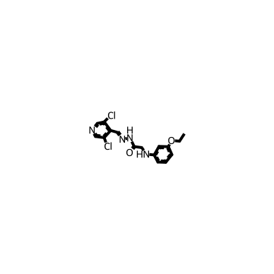 CCOc1cccc(NCC(=O)N/N=C/c2c(Cl)cncc2Cl)c1